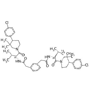 CC(C)[C@@H](NC(=O)Cc1cccc(CC(=O)N[C@@H](C(=O)N2CCC(c3ccc(Cl)cc3)C(C)(C)C2)C(C)C)c1)C(=O)N1CCC(c2ccc(Cl)cc2)C(C)(C)C1